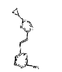 Nc1cccc(C=Cc2nc(C3CC3)cs2)c1